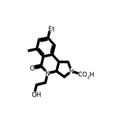 CCc1cc(C)c2c(c1)C1CN(C(=O)O)CC1N(CCO)C2=O